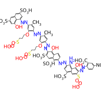 Cc1cc(N=Nc2c(S(=O)(=O)O)cc3c(S(=O)(=O)O)c(N=Nc4cc(S(=O)(=O)O)c5cc(SOOO)c(N=Nc6ccc([N+](=O)[O-])cc6C(=O)O)c(O)c5c4N)ccc3c2O)c(OCCCSOOO)cc1N=Nc1cc(C)c(N=Nc2cc(S(=O)(=O)O)cc3cc(S(=O)(=O)O)cc(O)c23)cc1OCCCSOOO